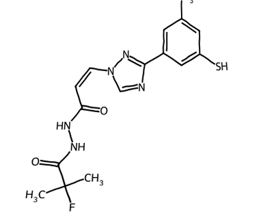 CC(C)(F)C(=O)NNC(=O)/C=C\n1cnc(-c2cc(S)cc(C(F)(F)F)c2)n1